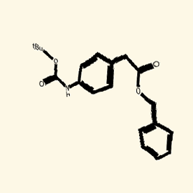 CC(C)(C)OC(=O)Nc1ccc(CC(=O)OCc2ccccc2)cc1